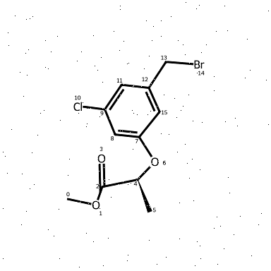 COC(=O)[C@H](C)Oc1cc(Cl)cc(CBr)c1